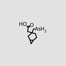 O=C(O)CC1(C[AsH2])CCC2CC2C1